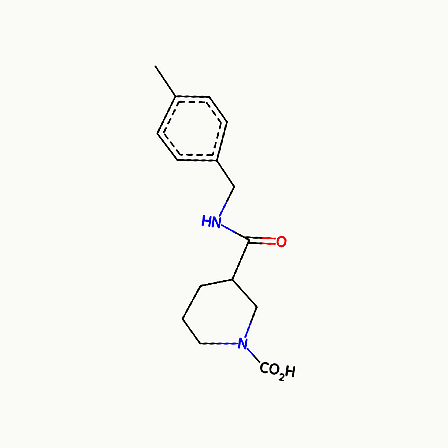 Cc1ccc(CNC(=O)C2CCCN(C(=O)O)C2)cc1